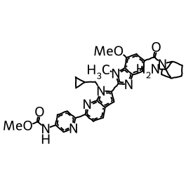 COC(=O)Nc1ccc(-c2ccc3cc(-c4nc5cc(C(=O)N6CC7CCC6C7N)cc(OC)c5n4C)n(CC4CC4)c3n2)nc1